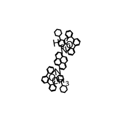 Cc1ccccc1-c1cccc2c1oc1c(N(c3ccc(C4CCCCC4)cc3)c3ccc4ccc5c(N(c6ccc(C7CCCCC7)cc6)c6cccc7c6oc6c(-c8ccccc8C)cccc67)ccc6ccc3c4c65)cccc12